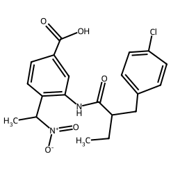 CCC(Cc1ccc(Cl)cc1)C(=O)Nc1cc(C(=O)O)ccc1C(C)[N+](=O)[O-]